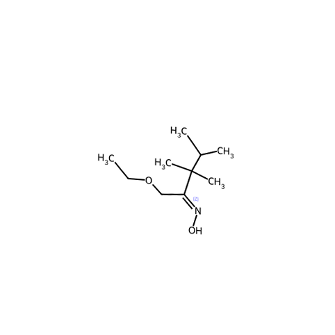 CCOC/C(=N\O)C(C)(C)C(C)C